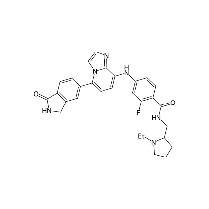 CCN1CCCC1CNC(=O)c1ccc(Nc2ccc(-c3ccc4c(c3)CNC4=O)n3ccnc23)cc1F